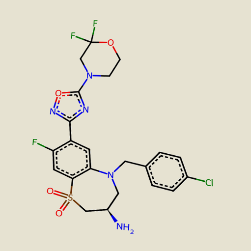 N[C@@H]1CN(Cc2ccc(Cl)cc2)c2cc(-c3noc(N4CCOC(F)(F)C4)n3)c(F)cc2S(=O)(=O)C1